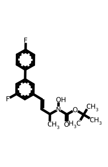 CC(C=Cc1cc(F)cc(-c2ccc(F)cc2)c1)N(O)C(=O)OC(C)(C)C